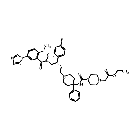 CCOC(=O)CN1CCN(C(=O)NC2(c3ccccc3)CCN(CC[C@H](CN(C)C(=O)c3cc(-n4cnnn4)ccc3OC)c3ccc(F)cc3)CC2)CC1